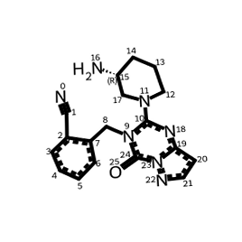 N#Cc1ccccc1Cn1c(N2CCC[C@@H](N)C2)nc2ccnn2c1=O